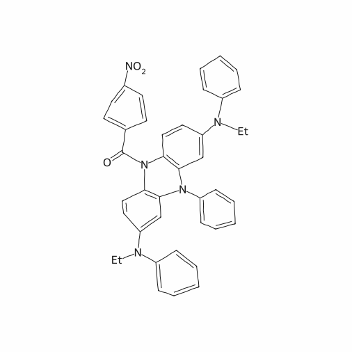 CCN(c1ccccc1)c1ccc2c(c1)N(c1ccccc1)c1cc(N(CC)c3ccccc3)ccc1N2C(=O)c1ccc([N+](=O)[O-])cc1